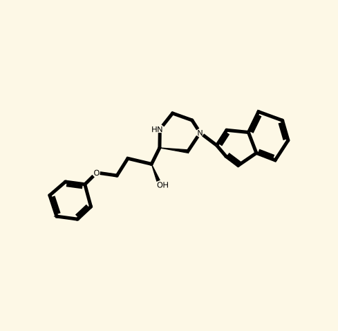 O[C@@H](CCOc1cc[c]cc1)[C@@H]1CN(c2ccc3ccccc3c2)CCN1